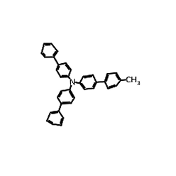 Cc1ccc(-c2ccc(N(c3ccc(-c4ccccc4)cc3)c3ccc(-c4ccccc4)cc3)cc2)cc1